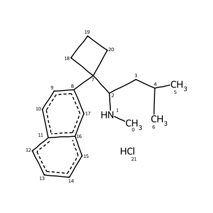 CNC(CC(C)C)C1(c2ccc3ccccc3c2)CCC1.Cl